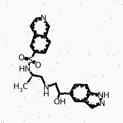 C[C@H](CNCC(O)c1ccc2[nH]ncc2c1)NS(=O)(=O)c1ccc2cnccc2c1